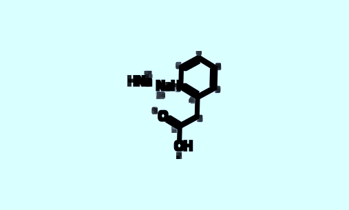 O=C(O)Cc1ccccc1.[NaH].[NaH]